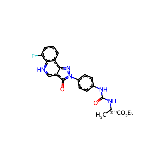 CCOC(=O)[C@H](C)NC(=O)Nc1ccc(-n2nc3c4cccc(F)c4[nH]cc-3c2=O)cc1